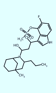 CCCC1CC2(C)CCCC(C2)N1C(O)CC(C)c1c[nH]c2ccc(F)c(OS(C)(=O)=O)c12